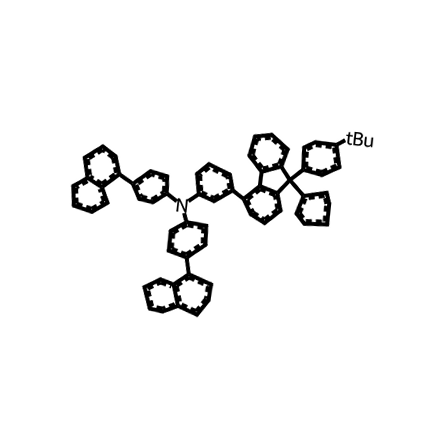 CC(C)(C)c1ccc(C2(c3ccccc3)c3ccccc3-c3c(-c4cccc(N(c5ccc(-c6cccc7ccccc67)cc5)c5ccc(-c6cccc7ccccc67)cc5)c4)cccc32)cc1